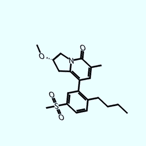 CCCCc1ccc(S(C)(=O)=O)cc1-c1cc(C)c(=O)n2c1C[C@H](OC)C2